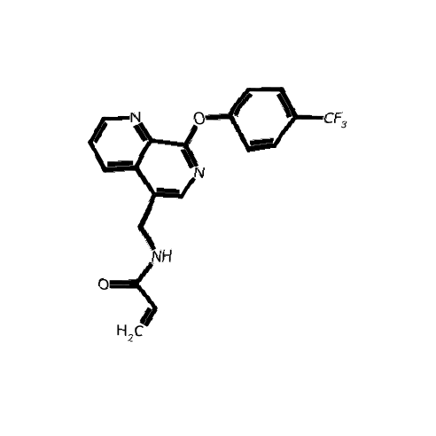 C=CC(=O)NCc1cnc(Oc2ccc(C(F)(F)F)cc2)c2ncccc12